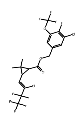 CC1(C)C(C=C(Cl)C(F)(F)C(F)(F)F)C1C(=O)OCc1cc(Cl)c(F)c(OC(F)(F)F)c1